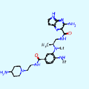 CCNc1ccc(C(=O)NCCN2CCC(N)CC2)cc1N(CC)C(C)CNC(=O)c1nc2cc[nH]c2nc1N